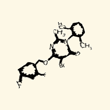 Cc1cccc(C)c1-n1c(C)nc(OCc2ccc(F)cc2F)c(Br)c1=O